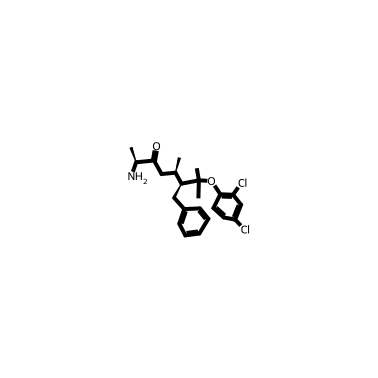 C[C@H](N)C(=O)C[C@@H](C)[C@H](Cc1ccccc1)C(C)(C)Oc1ccc(Cl)cc1Cl